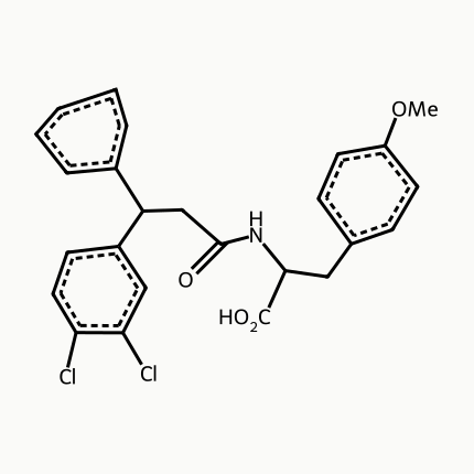 COc1ccc(CC(NC(=O)CC(c2ccccc2)c2ccc(Cl)c(Cl)c2)C(=O)O)cc1